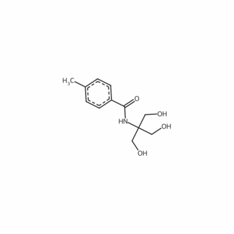 Cc1ccc(C(=O)NC(CO)(CO)CO)cc1